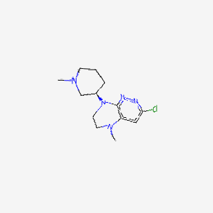 CN1CCC[C@@H](N2CCN(C)c3cc(Cl)nnc32)C1